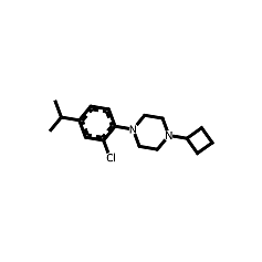 CC(C)c1ccc(N2CCN(C3CCC3)CC2)c(Cl)c1